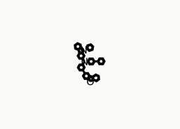 c1ccc(-c2ccc(N(c3cccc(-c4ccc5oc6ccccc6c5c4)c3)c3ccc4c5ccccc5n(-c5ccccc5)c4c3)cc2)cc1